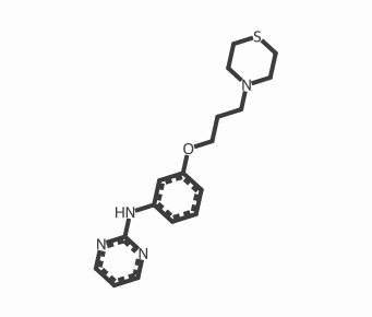 c1cnc(Nc2cccc(OCCCN3CCSCC3)c2)nc1